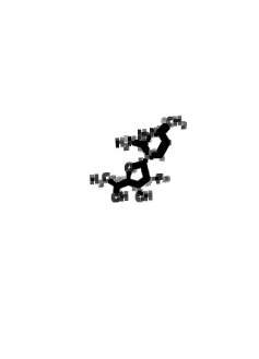 C=C(N)/C=C\N(C(N)=O)[C@@H]1O[C@H]([C@H](C)O)[C@@H](O)[C@H]1F